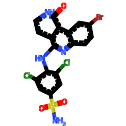 NS(=O)(=O)c1cc(Cl)c(Nc2nc3ccc(Br)cc3c3c(=O)[nH]ccc23)c(Cl)c1